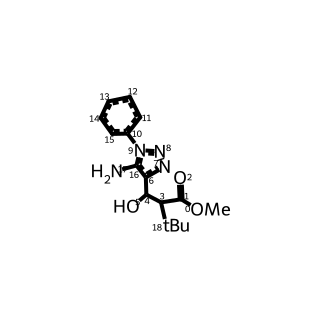 COC(=O)C(C(O)c1nnn(-c2ccccc2)c1N)C(C)(C)C